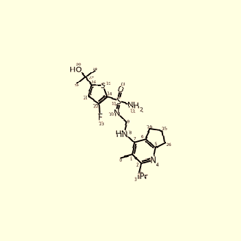 Cc1c(C(C)C)nc2c(c1NCN=S(N)(=O)c1sc(C(C)(C)O)cc1F)CCC2